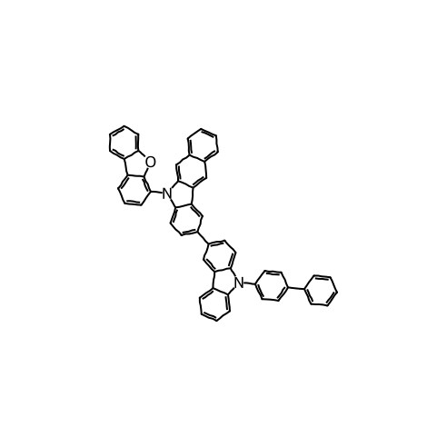 c1ccc(-c2ccc(-n3c4ccccc4c4cc(-c5ccc6c(c5)c5cc7ccccc7cc5n6-c5cccc6c5oc5ccccc56)ccc43)cc2)cc1